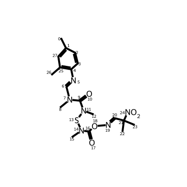 Cc1ccc(N=CN(C)C(=O)N(C)SN(C)C(=O)ON=CC(C)(C)[N+](=O)[O-])c(C)c1